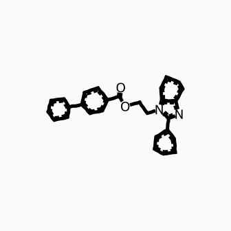 O=C(OCCn1c(-c2ccccc2)nc2ccccc21)c1ccc(-c2ccccc2)cc1